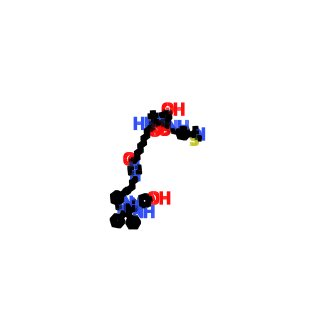 Cc1ncsc1-c1ccc(CNC(=O)[C@@H]2C[C@@H](O)CN2C(=O)[C@@H](NC(=O)CCCCCCCCC(=O)N2CCN(CCCC#Cc3cccc(Cn4c(-c5ccccc5)c(-c5ccccc5)c5c(=N)n(C6CCC(O)CC6)cnc54)c3)CC2)C(C)(C)C)cc1